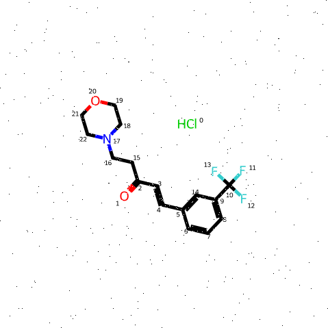 Cl.O=C(/C=C/c1cccc(C(F)(F)F)c1)CCN1CCOCC1